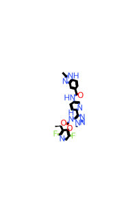 Cc1nc2cc(C(=O)Nc3ccc(-c4nnn(C)c4NC(=O)O[C@H](C)c4cc(F)cnc4F)nc3)ccc2[nH]1